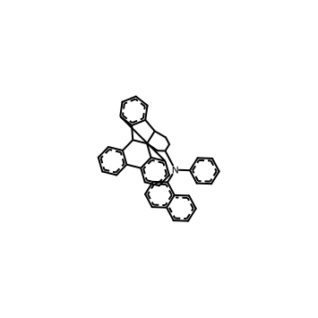 c1ccc(N(c2cccc3ccccc23)C2CCC3c4cccc5c4C4c6ccccc6-c6cccc-5c6C34C2)cc1